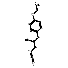 CCOc1ccc(CC(O)CN=[N+]=[N-])cc1